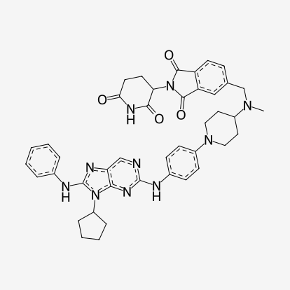 CN(Cc1ccc2c(c1)C(=O)N(C1CCC(=O)NC1=O)C2=O)C1CCN(c2ccc(Nc3ncc4nc(Nc5ccccc5)n(C5CCCC5)c4n3)cc2)CC1